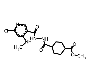 CNc1cc(Cl)ncc1C(=O)NNC(=O)C1CCC(C(=O)OC)CC1